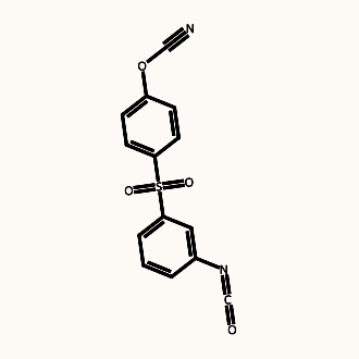 N#COc1ccc(S(=O)(=O)c2cccc(N=C=O)c2)cc1